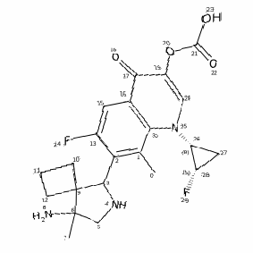 Cc1c(C2NCC(C)(N)C23CCC3)c(F)cc2c(=O)c(OC(=O)O)cn([C@@H]3C[C@@H]3F)c12